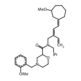 C=C/C(=C\C=C1\CCCCC(OC)C1)CN(CC(C)C)C(=O)C1CN(Cc2ccccc2OC)CCO1